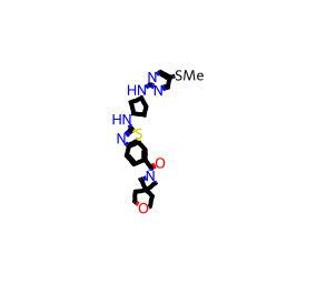 CSc1cnc(N[C@H]2CC[C@H](Nc3nc4ccc(C(=O)N5CC6(CCOCC6)C5)cc4s3)C2)nc1